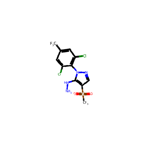 NNc1c(S(=O)(=O)C(F)(F)F)cnn1-c1c(Cl)cc(C(F)(F)F)cc1Cl